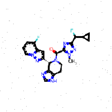 Cn1nc(C(F)C2CC2)nc1C(=O)N1CCc2[nH]cnc2[C@@H]1c1cc2c(F)cccn2n1